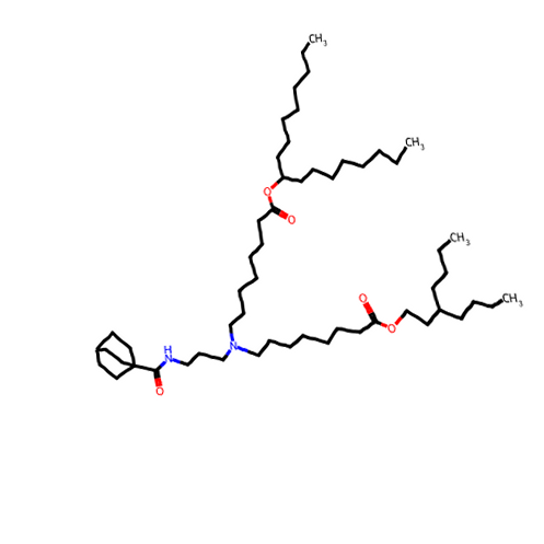 CCCCCCCCC(CCCCCCCC)OC(=O)CCCCCCCN(CCCCCCCC(=O)OCCC(CCCC)CCCC)CCCNC(=O)C12CCC(CC1)CC2